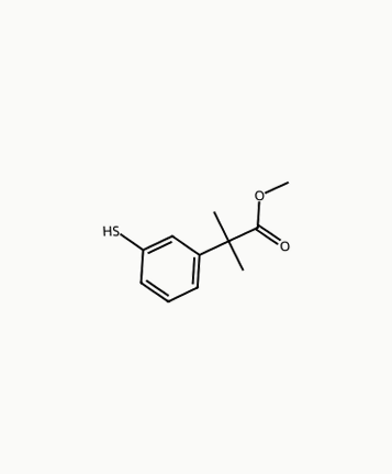 COC(=O)C(C)(C)c1cccc(S)c1